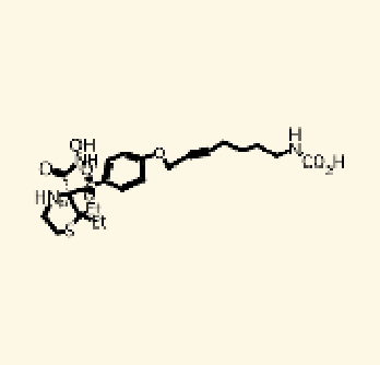 CCC1(CC)SCCN[C@@]1(C(=O)NO)S(=O)(=O)c1ccc(OCC#CCCCCNC(=O)O)cc1